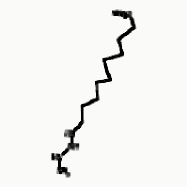 CCCCCCCCCCCCCCCCNNNN